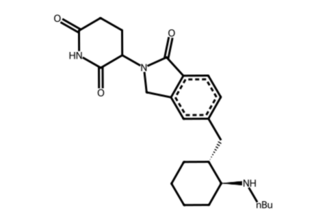 CCCCN[C@H]1CCCC[C@@H]1Cc1ccc2c(c1)CN(C1CCC(=O)NC1=O)C2=O